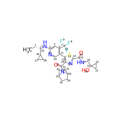 CC[C@H](Nc1cc(C(F)(F)F)c(-c2sc(C(=O)NCC3(O)CC3)nc2C(=O)N2C3CCC2CC3)cn1)C1CC1